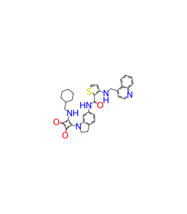 O=C(Nc1ccc2c(c1)N(c1c(NCC3CCCCC3)c(=O)c1=O)CC2)c1sccc1NCc1ccnc2ccccc12